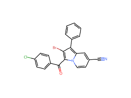 N#Cc1ccn2c(C(=O)c3ccc(Cl)cc3)c(Br)c(-c3ccccc3)c2c1